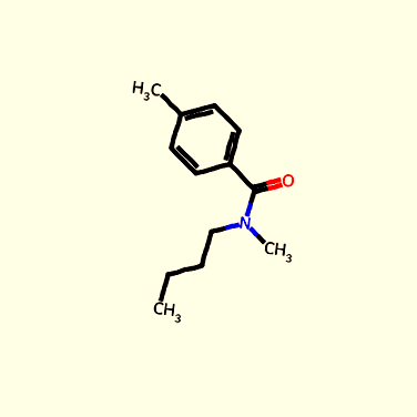 CCCCN(C)C(=O)c1ccc(C)cc1